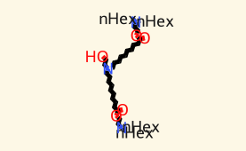 CCCCCCN(CCCCCC)CCOC(=O)CCCCCCCCCN(CCO)CCCCCCCCCC(=O)OCCN(CCCCCC)CCCCCC